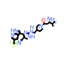 CC(C)[C@@H](N)CC(=O)N1CCC(CNC2=NC(c3c[nH]c4ncc(C(F)(F)F)cc34)=C(C#N)CN2)CC1